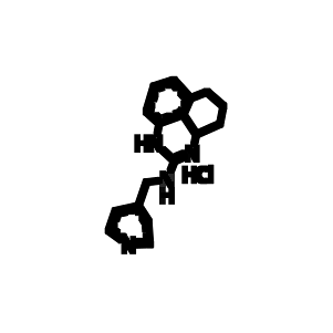 Cl.c1cc2c3c(c1)NC(NCc1ccncc1)=NC3CCC2